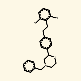 Clc1cccc(Cl)c1CCc1ccc(C2CN(Cc3ccccc3)CCO2)cc1